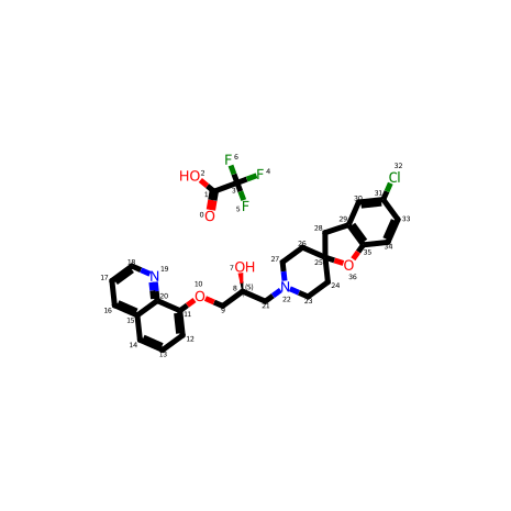 O=C(O)C(F)(F)F.O[C@H](COc1cccc2cccnc12)CN1CCC2(CC1)Cc1cc(Cl)ccc1O2